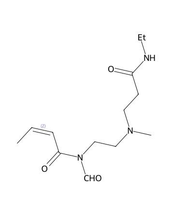 C/C=C\C(=O)N(C=O)CCN(C)CCC(=O)NCC